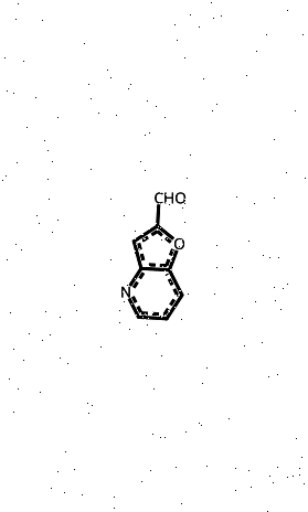 O=Cc1cc2ncccc2o1